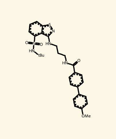 COc1ccc(-c2ccc(C(=O)NCCCNc3nsc4cccc(S(=O)(=O)NC(C)(C)C)c34)cc2)cc1